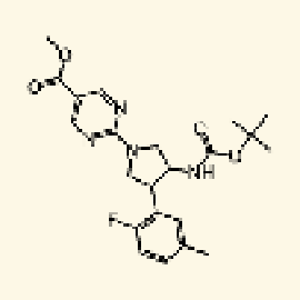 COC(=O)c1cnc(N2CC(NC(=O)OC(C)(C)C)C(c3cc(C)ccc3F)C2)nc1